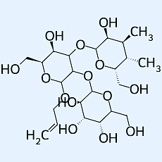 C=CCOC1O[C@@H](CO)[C@@H](O)C(OC2O[C@@H](CO)[C@@H](C)[C@H](C)[C@@H]2O)C1OC1OC(CO)[C@H](O)[C@H](O)[C@H]1O